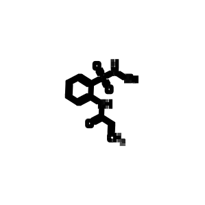 C=CC(=O)Nc1ccccc1S(=O)(=O)NC(C)CC